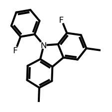 Cc1ccc2c(c1)c1cc(C)cc(F)c1n2-c1ccccc1F